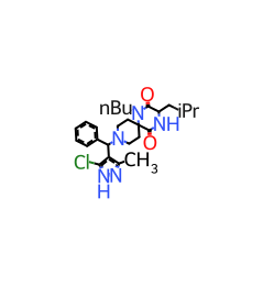 CCCCN1C(=O)C(CC(C)C)NC(=O)C12CCN(C(c1ccccc1)c1c(C)n[nH]c1Cl)CC2